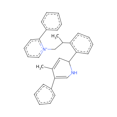 CC1=CC(c2ccccc2C(C)C[n+]2ccccc2-c2ccccc2)NC=C1c1ccccc1